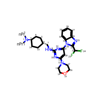 CCCN(CCC)[C@H]1CC[C@H](CNc2nc(N3CCOCC3)cc(-n3c(C(F)F)nc4ccccc43)n2)CC1